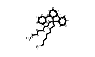 CCCCCCCCC1(CCCCCCCC)c2ccccc2-c2cccc(-c3ccccc3)c21